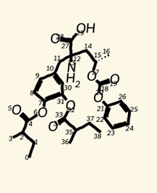 CCC(C)C(=O)Oc1ccc(CC(N)(C[C@H](C)OC(=O)Oc2ccccc2)C(=O)O)cc1OC(=O)C(C)CC